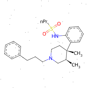 CCCS(=O)(=O)Nc1ccccc1[C@@]1(C)CCN(CCCc2ccccc2)C[C@@H]1C